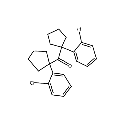 O=C(C1(c2ccccc2Cl)CCCC1)C1(c2ccccc2Cl)CCCC1